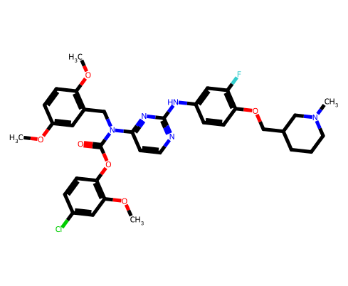 COc1ccc(OC)c(CN(C(=O)Oc2ccc(Cl)cc2OC)c2ccnc(Nc3ccc(OCC4CCCN(C)C4)c(F)c3)n2)c1